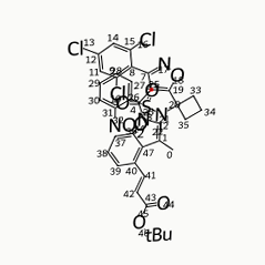 Cc1cn(C(=O)c2c(-c3c(Cl)cc(Cl)cc3Cl)noc2C2(N(C)S(=O)(=O)c3ccccc3[N+](=O)[O-])CCC2)c2cccc(/C=C/C(=O)OC(C)(C)C)c12